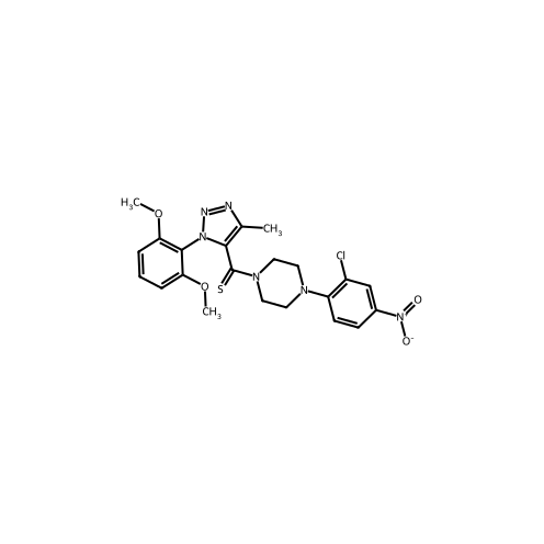 COc1cccc(OC)c1-n1nnc(C)c1C(=S)N1CCN(c2ccc([N+](=O)[O-])cc2Cl)CC1